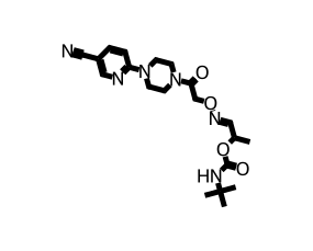 CC(C=NOCC(=O)N1CCN(c2ccc(C#N)cn2)CC1)OC(=O)NC(C)(C)C